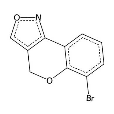 Brc1cccc2c1OCc1conc1-2